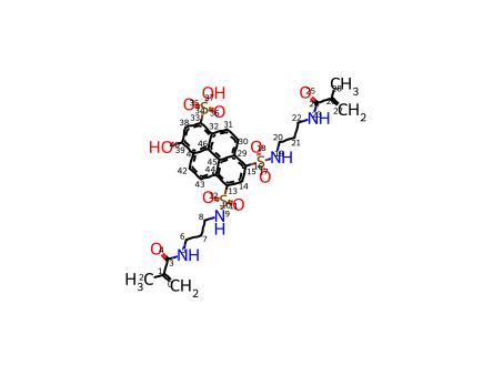 C=C(C)C(=O)NCCCNS(=O)(=O)c1cc(S(=O)(=O)NCCCNC(=O)C(=C)C)c2ccc3c(S(=O)(=O)O)cc(O)c4ccc1c2c43